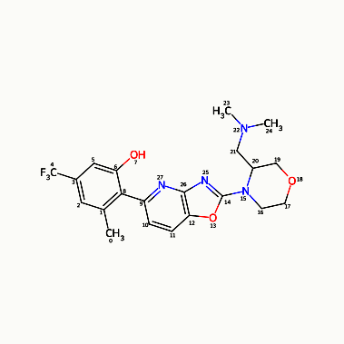 Cc1cc(C(F)(F)F)cc(O)c1-c1ccc2oc(N3CCOCC3CN(C)C)nc2n1